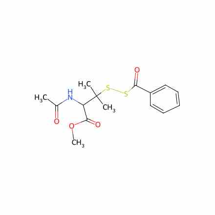 COC(=O)C(NC(C)=O)C(C)(C)SSC(=O)c1ccccc1